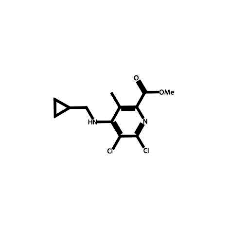 COC(=O)c1nc(Cl)c(Cl)c(NCC2CC2)c1C